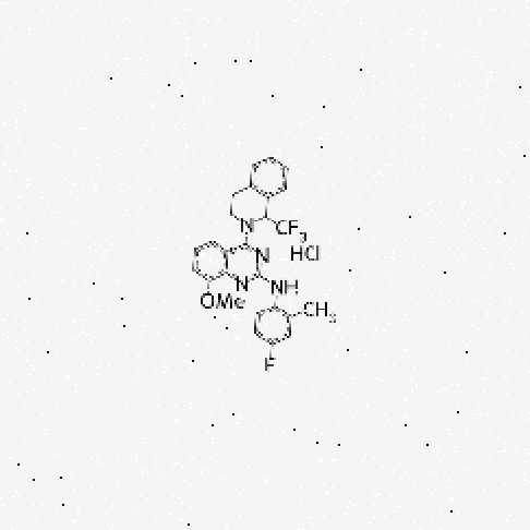 COc1cccc2c(N3CCc4ccccc4C3C(F)(F)F)nc(Nc3ccc(F)cc3C)nc12.Cl